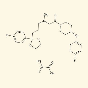 CN(CCCC1(c2ccc(F)cc2)OCCO1)CC(=O)N1CCC(Oc2ccc(F)cc2)CC1.O=C(O)C(=O)O